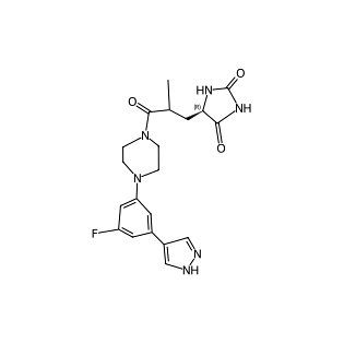 CC(C[C@H]1NC(=O)NC1=O)C(=O)N1CCN(c2cc(F)cc(-c3cn[nH]c3)c2)CC1